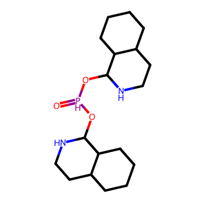 O=[PH](OC1NCCC2CCCCC21)OC1NCCC2CCCCC21